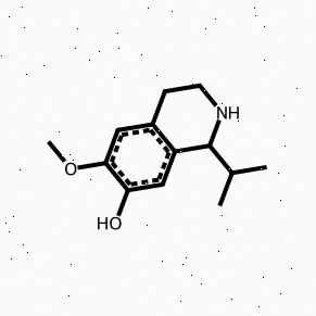 COc1cc2c(cc1O)C(C(C)C)NCC2